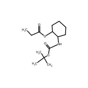 CCC(=O)OC1CCCCC1NC(=O)OC(C)(C)C